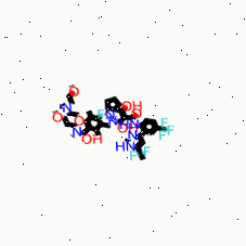 COCCCN(C)[C@H](O)C1=C(OCCN(C)CCOC)C(C)=C(F)C(CN2[C@H](O)C(C(=O)Nc3ccc(C(F)(F)F)cc3C3=NCNC(C(C)(F)F)=C3)=C(O)C3(CCCC3)N2C)C1C